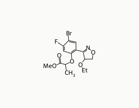 CCOC1CON=C1c1cc(Br)c(F)cc1OC(C)C(=O)OC